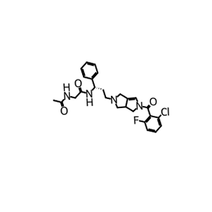 CC(=O)NCC(=O)N[C@@H](CCN1CC2=CN(C(=O)c3c(F)cccc3Cl)CC2C1)c1ccccc1